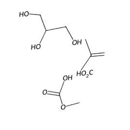 C=C(C)C(=O)O.COC(=O)O.OCC(O)CO